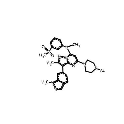 CC(=O)N1CCN(c2cc(N(C)c3cccc(S(C)(=O)=O)c3)n3nc(C)c(-c4ccc5cnn(C)c5c4)c3n2)CC1